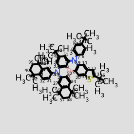 CC(C)(C)c1ccc(N2c3cc4cc(C(C)(C)C)sc4cc3B3c4cc5c(cc4N(c4ccc6c(c4)C(C)(C)CCC6(C)C)c4cc(C(C)(C)C)cc2c43)C(C)(C)CCC5(C)C)cc1